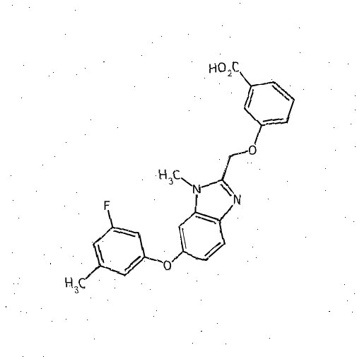 Cc1cc(F)cc(Oc2ccc3nc(COc4cccc(C(=O)O)c4)n(C)c3c2)c1